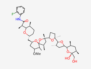 COC1C[C@@H](C[C@H]2CC[C@H](C)C([C@@H](C)C(=O)Nc3ccccc3F)O2)O[C@]2(O[C@](C)(C3CC[C@@](C)(C4OC(C5O[C@@](O)(CO)[C@H](C)C[C@@H]5C)C[C@@H]4C)O3)C[C@H]2C)C1C